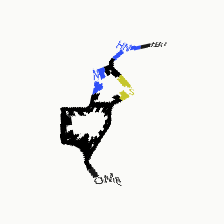 COc1ccc2nc(NC(C)(C)C)sc2c1